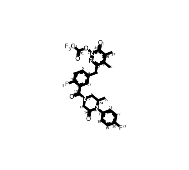 Cc1c(Cc2ccc(F)c(C(=O)N3CC(=O)N(c4ccc(F)cc4)C(C)C3)c2)nn(OC(=O)C(F)(F)F)c(=O)c1C